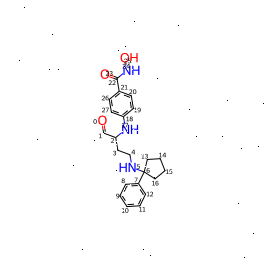 O=CC(CCNC1(c2ccccc2)CCCC1)Nc1ccc(C(=O)NO)cc1